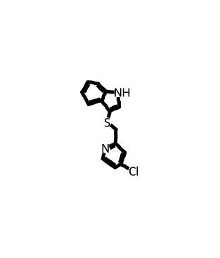 Clc1ccnc(CSc2c[nH]c3ccccc23)c1